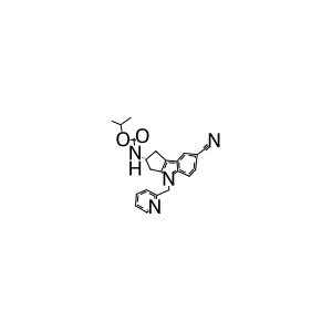 CC(C)OC(=O)N[C@@H]1Cc2c(n(Cc3ccccn3)c3ccc(C#N)cc23)C1